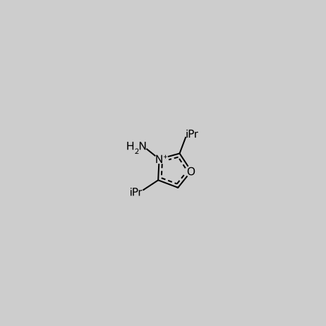 CC(C)c1coc(C(C)C)[n+]1N